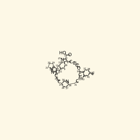 Cn1c(C(=O)O)c2c3ccc(Cl)c(c31)-c1c(nn3c1CCC3)CSCc1ccc(nc1)CCc1cc(c3ccc(F)cc3c1)OCCC2